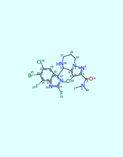 CN(C)C(=O)c1nn2c(c1Cl)C(c1nc(F)nc3c(F)c(Br)c(Cl)cc13)NCCC2